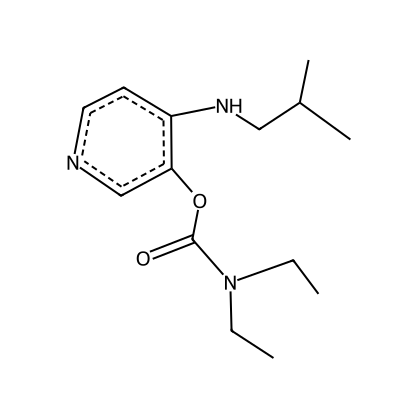 CCN(CC)C(=O)Oc1cnccc1NCC(C)C